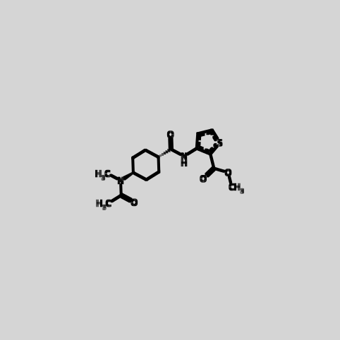 COC(=O)c1sccc1NC(=O)[C@H]1CC[C@H](N(C)C(C)=O)CC1